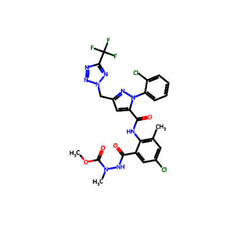 COC(=O)N(C)NC(=O)c1cc(Cl)cc(C)c1NC(=O)c1cc(Cn2nnc(C(F)(F)F)n2)nn1-c1ccccc1Cl